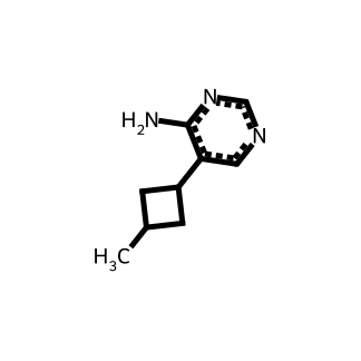 CC1CC(c2cncnc2N)C1